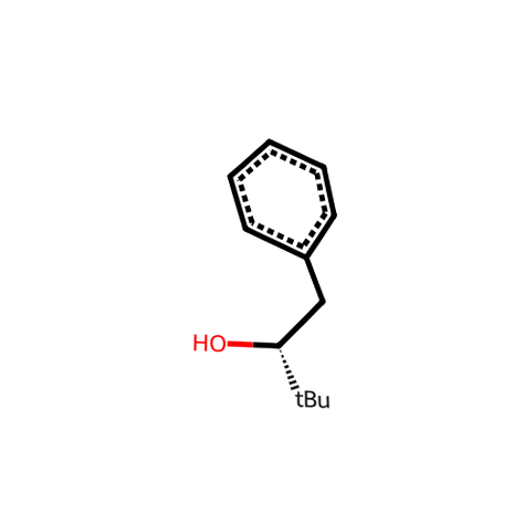 CC(C)(C)[C@H](O)Cc1ccccc1